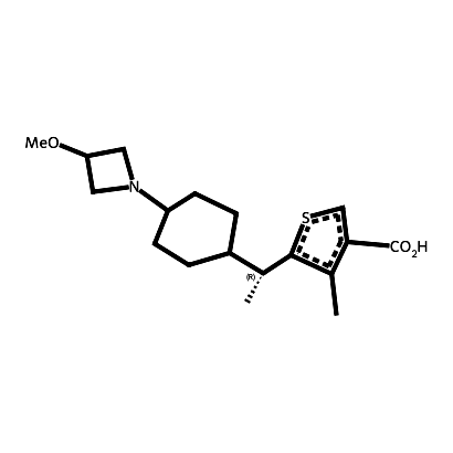 COC1CN(C2CCC([C@@H](C)c3scc(C(=O)O)c3C)CC2)C1